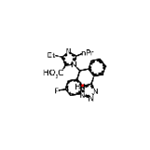 CCCc1nc(CC)c(C(=O)O)n1C(c1cccc(F)c1)c1ccccc1-c1nnn[nH]1